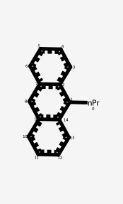 CCCc1c2ccccc2cc2ccccc12